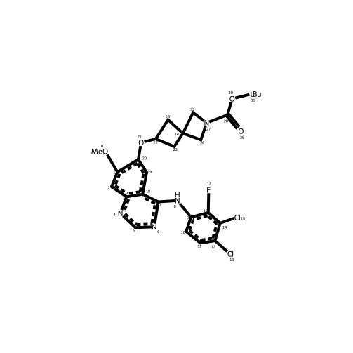 COc1cc2ncnc(Nc3ccc(Cl)c(Cl)c3F)c2cc1OC1CC2(C1)CN(C(=O)OC(C)(C)C)C2